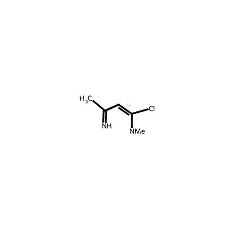 CN/C(Cl)=C\C(C)=N